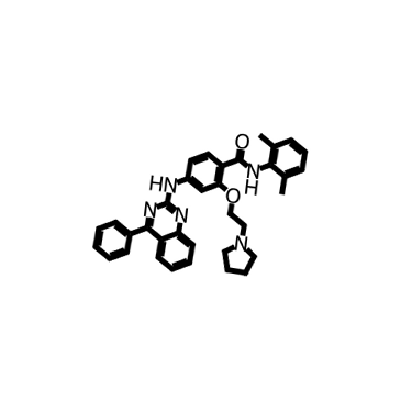 Cc1cccc(C)c1NC(=O)c1ccc(Nc2nc(-c3ccccc3)c3ccccc3n2)cc1OCCN1CCCC1